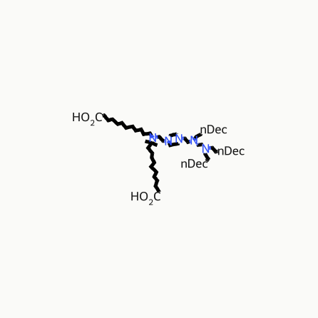 CCCCCCCCCCCCN(CCCCCCCCCCCC)CCN(CCCCCCCCCCCC)CCN1CCN(CCN(CCCCCCCCCCCC(=O)O)C(C)(C)CCCCCCCCCCC(=O)O)CC1